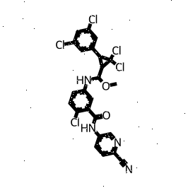 COC(Nc1ccc(Cl)c(C(=O)Nc2ccc(C#N)nc2)c1)C1C(c2cc(Cl)cc(Cl)c2)C1(Cl)Cl